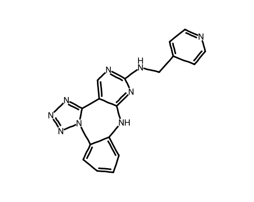 c1ccc2c(c1)Nc1nc(NCc3ccncc3)ncc1-c1nnnn1-2